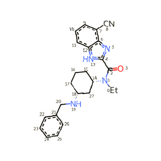 CCN(C(=O)c1nc2c(C#N)cccc2[nH]1)[C@H]1CCC[C@@H](NCc2ccccc2)C1